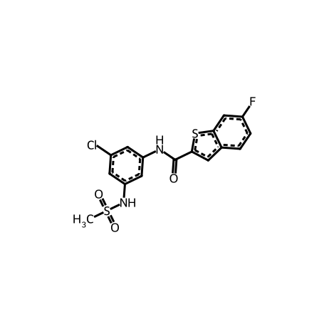 CS(=O)(=O)Nc1cc(Cl)cc(NC(=O)c2cc3ccc(F)cc3s2)c1